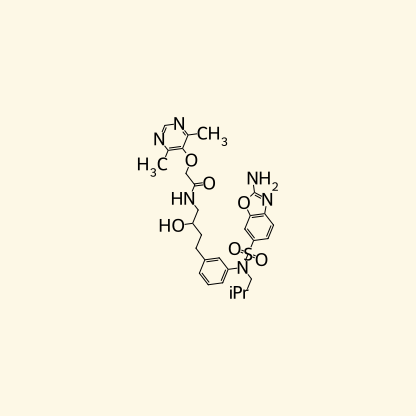 Cc1ncnc(C)c1OCC(=O)NCC(O)CCc1cccc(N(CC(C)C)S(=O)(=O)c2ccc3nc(N)oc3c2)c1